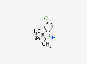 C=C1Nc2ccc(Cl)cc2[C@@]1(C)C(C)C